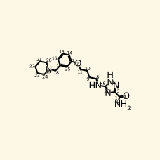 NC(=O)c1n[nH]c(NCCCCOc2cccc(CN3CCCCC3)c2)n1